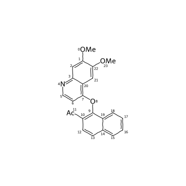 COc1cc2nccc(Oc3c(C(C)=O)ccc4ccccc34)c2cc1OC